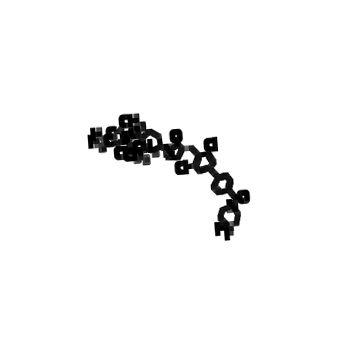 CC(C)[Si](OC1CCC(N2CCC(Cc3c(Cl)cc(-c4ccc(C(=O)N5CCC(F)(F)CC5)cc4)cc3Cl)C2=O)CC1)(C(C)C)C(C)C